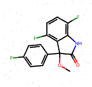 COC1(c2ccc(F)cc2)C(=O)Nc2c(F)ccc(F)c21